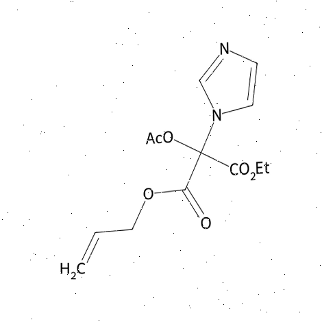 C=CCOC(=O)C(OC(C)=O)(C(=O)OCC)n1ccnc1